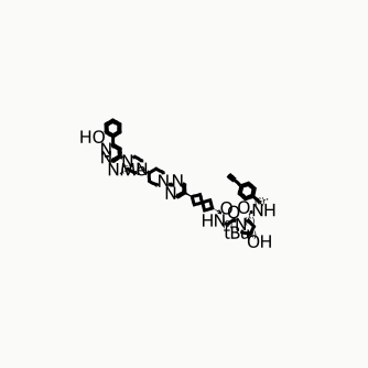 C#Cc1ccc([C@H](C)NC(=O)[C@@H]2C[C@@H](O)CN2C(=O)[C@@H](NC(=O)[C@H]2CC3(C2)C[C@H](c2cnc(N4CCC(N5CCN(c6cc(-c7ccccc7O)nnc6NC)[C@@H](C)C5)CC4)nc2)C3)C(C)(C)C)cc1